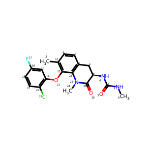 CNC(=O)N[C@@H]1Cc2ccc(C)c(Oc3cc(F)ccc3Cl)c2N(C)C1=O